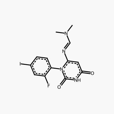 CN(C)/C=N/c1cc(=O)[nH]c(=O)n1-c1ccc(I)cc1F